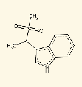 [CH2]S(=O)(=O)C(C)c1c[nH]c2ccccc12